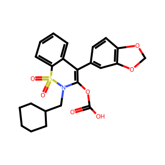 O=C(O)OC1=C(c2ccc3c(c2)OCO3)c2ccccc2S(=O)(=O)N1CC1CCCCC1